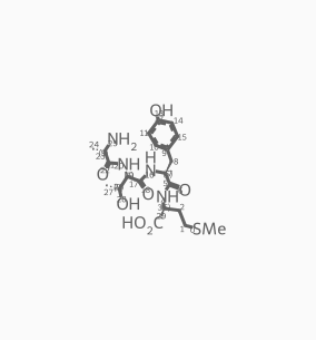 CSCC[C@H](NC(=O)[C@H](Cc1ccc(O)cc1)NC(=O)[C@@H](NC(=O)[C@H](C)N)[C@@H](C)O)C(=O)O